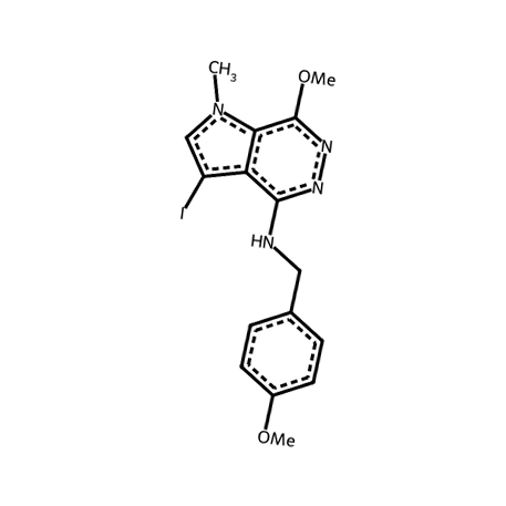 COc1ccc(CNc2nnc(OC)c3c2c(I)cn3C)cc1